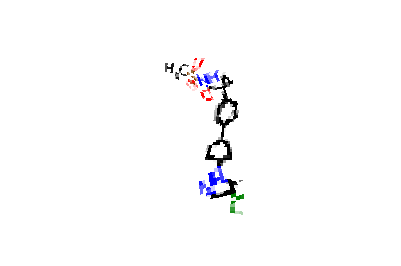 CS(=O)(=O)NC(=O)C1(c2ccc(-c3ccc(-n4[c]c(Cl)cn4)cc3)cc2)CC1